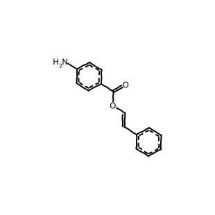 Nc1ccc(C(=O)OC=Cc2ccccc2)cc1